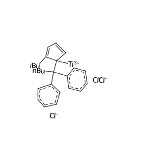 CCCCC(c1ccccc1)(c1ccccc1)[C]1([Ti+3])C=CC=C1C(C)CC.[Cl-].[Cl-].[Cl-]